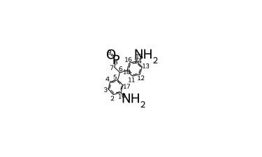 Nc1cccc(C(CP=O)c2cccc(N)c2)c1